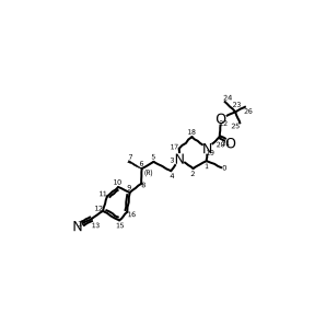 CC1CN(CC[C@H](C)Cc2ccc(C#N)cc2)CCN1C(=O)OC(C)(C)C